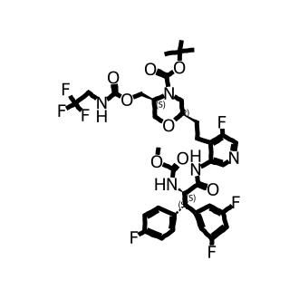 COC(=O)N[C@H](C(=O)Nc1cncc(F)c1CC[C@@H]1CN(C(=O)OC(C)(C)C)[C@H](COC(=O)NCC(F)(F)F)CO1)[C@@H](c1ccc(F)cc1)c1cc(F)cc(F)c1